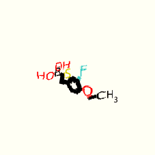 CCOc1ccc2cc(B(O)O)sc2c1F